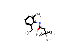 CCc1cccc(C)c1NC(=O)CC(C)(C)C